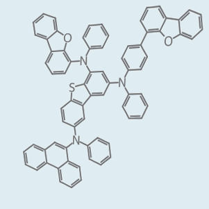 c1ccc(N(c2ccc(-c3cccc4c3oc3ccccc34)cc2)c2cc(N(c3ccccc3)c3cccc4c3oc3ccccc34)c3sc4ccc(N(c5ccccc5)c5cc6ccccc6c6ccccc56)cc4c3c2)cc1